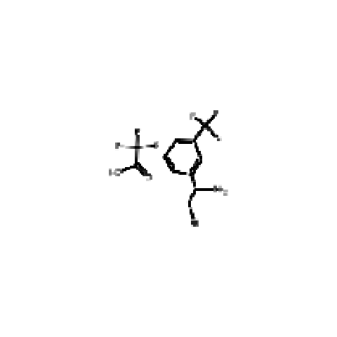 NC(CO)c1cccc(C(F)(F)F)c1.O=C(O)C(F)(F)F